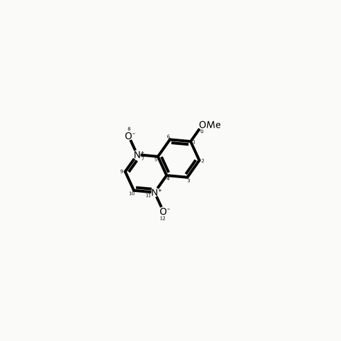 COc1ccc2c(c1)[n+]([O-])cc[n+]2[O-]